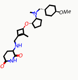 CO[C@H]1CC[C@H](CN(C)[C@H]2CCC[C@@H]2O[C@@H]2CC(CNC3CCC(=O)NC3=O)=C2C)CC1